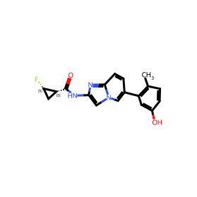 Cc1ccc(O)cc1-c1ccc2nc(NC(=O)[C@@H]3C[C@@H]3F)cn2c1